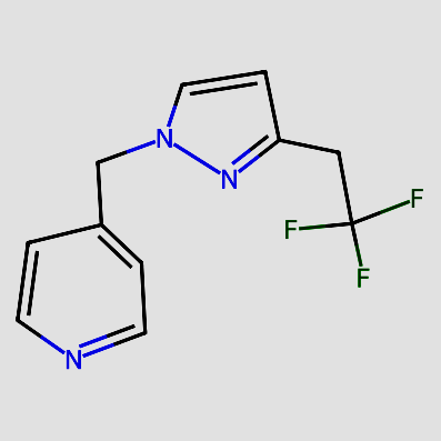 FC(F)(F)Cc1ccn(Cc2ccncc2)n1